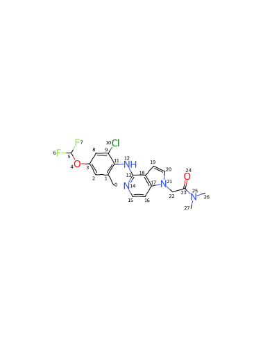 Cc1cc(OC(F)F)cc(Cl)c1Nc1nccc2c1ccn2CC(=O)N(C)C